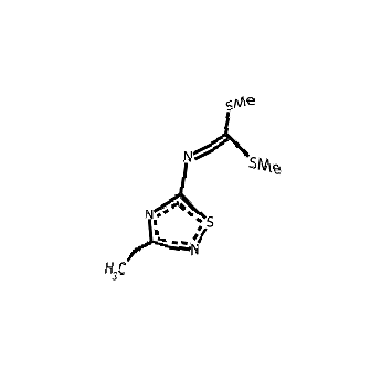 CSC(=Nc1nc(C)ns1)SC